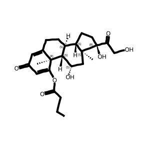 CCCC(=O)OC1=CC(=O)C=C2CC[C@@H]3[C@H]([C@@H](O)C[C@@]4(C)[C@H]3CC[C@]4(O)C(=O)CO)[C@]21C